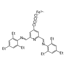 CCc1cc(CC)c(N=Cc2cc(Cl)cc(C=Nc3c(CC)cc(CC)cc3CC)n2)c(CC)c1.[Cl-].[Cl-].[Cl-].[Fe+3]